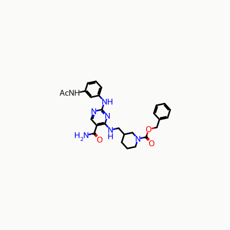 CC(=O)Nc1cccc(Nc2ncc(C(N)=O)c(NCC3CCCN(C(=O)OCc4ccccc4)C3)n2)c1